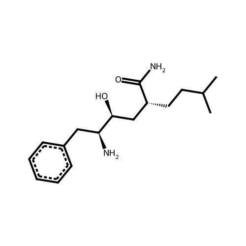 CC(C)CC[C@H](C[C@H](O)[C@@H](N)Cc1ccccc1)C(N)=O